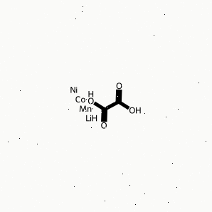 O=C(O)C(=O)O.[Co].[LiH].[Mn].[Ni]